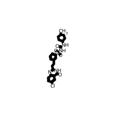 CC1CCC(NC(=O)NS(=O)(=O)c2cccc(CCc3nc4ccc(Cl)cc4c(=O)[nH]3)c2)CC1